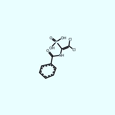 O=C(NC(=C(Cl)Cl)P(=O)(O)O)c1ccccc1